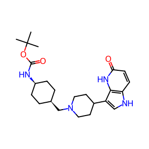 CC(C)(C)OC(=O)N[C@H]1CC[C@@H](CN2CCC(c3c[nH]c4ccc(=O)[nH]c34)CC2)CC1